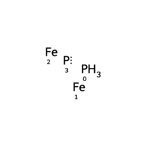 P.[Fe].[Fe].[P]